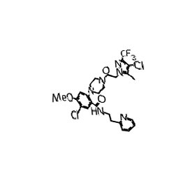 COc1cc(N2CCN(C(=O)Cn3nc(C(F)(F)F)c(Cl)c3C)CC2)c(C(=O)NCCc2ccccn2)cc1Cl